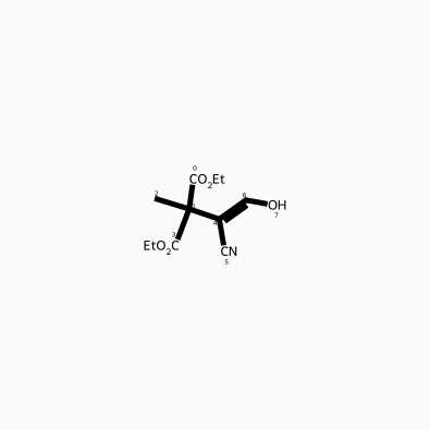 CCOC(=O)C(C)(C(=O)OCC)C(C#N)=CO